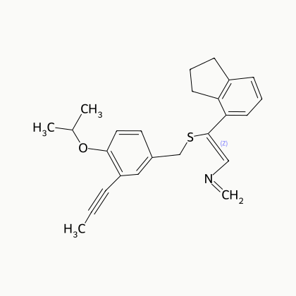 C=N/C=C(\SCc1ccc(OC(C)C)c(C#CC)c1)c1cccc2c1CCC2